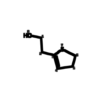 OCCC1=CCCS1